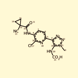 Cn1nnc(-c2ccc(NC(=O)C3(C#N)CC3)c(Cl)n2)c1NC(=O)O